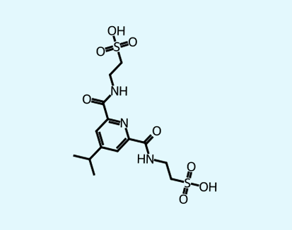 CC(C)c1cc(C(=O)NCCS(=O)(=O)O)nc(C(=O)NCCS(=O)(=O)O)c1